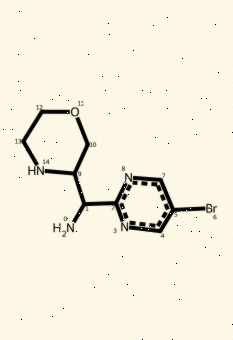 NC(c1ncc(Br)cn1)C1COCCN1